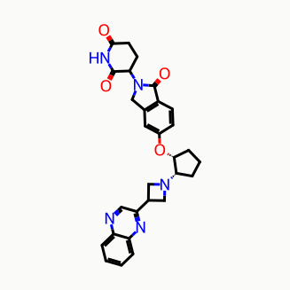 O=C1CCC(N2Cc3cc(O[C@@H]4CCC[C@@H]4N4CC(c5cnc6ccccc6n5)C4)ccc3C2=O)C(=O)N1